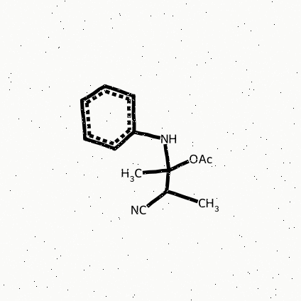 CC(=O)OC(C)(Nc1ccccc1)C(C)C#N